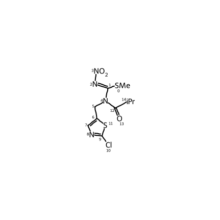 CSC(=N[N+](=O)[O-])N(Cc1cnc(Cl)s1)C(=O)C(C)C